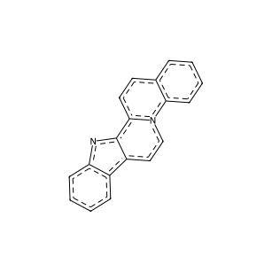 c1ccc2c(c1)ccc1c3nc4ccccc4c-3ccn12